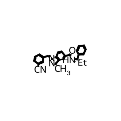 CC[C@H](NC(=O)c1ccc2c(c1)c(C)nn2Cc1cccc(C#N)c1)c1ccccc1